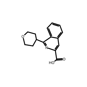 O=C(O)c1cc2ccccc2c(C2CCOCC2)n1